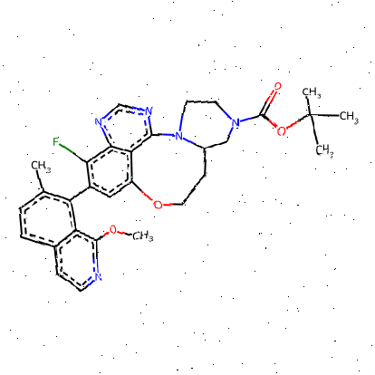 COc1nccc2ccc(C)c(-c3cc4c5c(ncnc5c3F)N3CCN(C(=O)OC(C)(C)C)CC3CCO4)c12